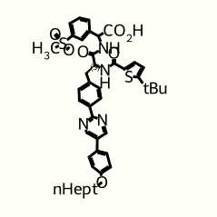 CCCCCCCOc1ccc(-c2cnc(-c3ccc(C[C@H](NC(=O)c4ccc(C(C)(C)C)s4)C(=O)NC(C(=O)O)c4cccc(S(C)(=O)=O)c4)cc3)nc2)cc1